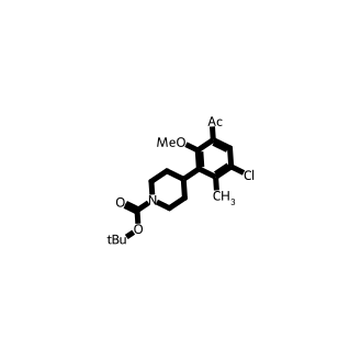 COc1c(C(C)=O)cc(Cl)c(C)c1C1CCN(C(=O)OC(C)(C)C)CC1